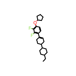 CCC1CCC(C2CC=C(c3ccc(OC4CCCC4)c(F)c3F)CC2)CC1